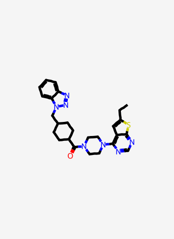 CCc1cc2c(N3CCN(C(=O)C4CCC(Cn5nnc6ccccc65)CC4)CC3)ncnc2s1